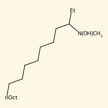 CCCCCCCCCCCCCCCC(CC)N(C)O